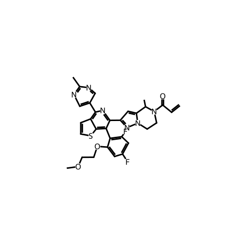 C=CC(=O)N1CCn2nc(-c3nc(-c4cnc(C)nc4)c4ccsc4c3-c3c(F)cc(F)cc3OCCOC)cc2C1C